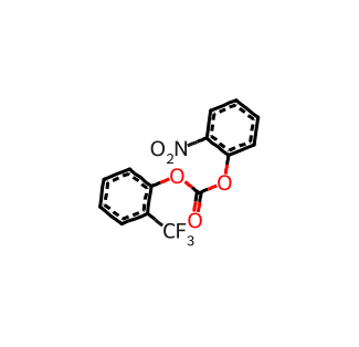 O=C(Oc1ccccc1[N+](=O)[O-])Oc1ccccc1C(F)(F)F